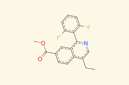 CCc1cnc(-c2c(F)cccc2F)c2cc(C(=O)OC)ccc12